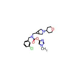 Cn1cnc(OC(=O)N(Cc2cccc(Cl)c2)CC2C3CN(C4CCOCC4)CC23)c1